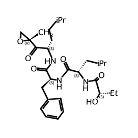 CC[C@H](O)C(=O)N[C@@H](CC(C)C)C(=O)N[C@@H](Cc1ccccc1)C(=O)N[C@@H](CCC(C)C)C(=O)[C@@]1(C)CO1